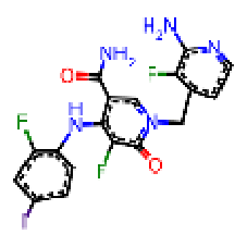 NC(=O)c1cn(Cc2ccnc(N)c2F)c(=O)c(F)c1Nc1ccc(I)cc1F